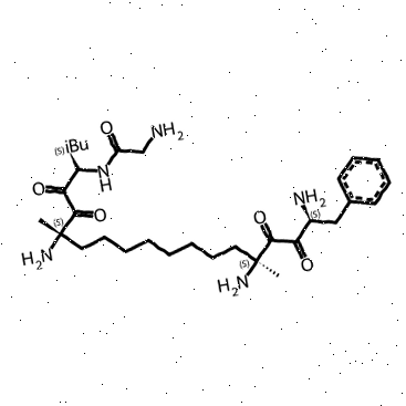 CC[C@H](C)C(NC(=O)CN)C(=O)C(=O)[C@@](C)(N)CCCCCCCC[C@](C)(N)C(=O)C(=O)[C@@H](N)Cc1ccccc1